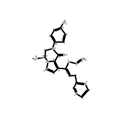 C=NO/C(=C\Cc1cnccn1)c1cnn2c1C(=O)N(c1ccc(C(F)(F)F)cc1)C[C@@H]2C